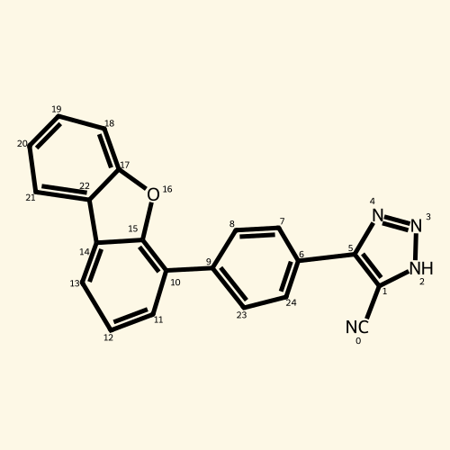 N#Cc1[nH]nnc1-c1ccc(-c2cccc3c2oc2ccccc23)cc1